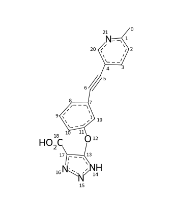 Cc1ccc(C#Cc2cccc(Oc3[nH]nnc3C(=O)O)c2)cn1